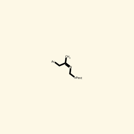 CCCCCCN=C(C)CC(C)=O